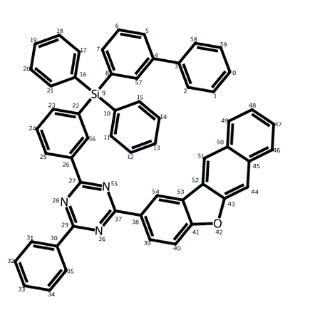 c1ccc(-c2cccc([Si](c3ccccc3)(c3ccccc3)c3cccc(-c4nc(-c5ccccc5)nc(-c5ccc6oc7cc8ccccc8cc7c6c5)n4)c3)c2)cc1